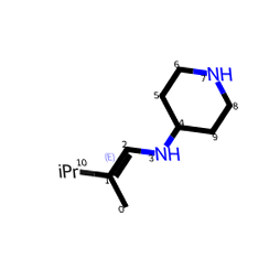 C/C(=C\NC1CCNCC1)C(C)C